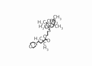 CCCC(C)(CC)CP(=O)(OC(C)(C)C)SCCOC(=O)C(C)(C)CCN1CCOCC1